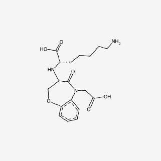 NCCCCC[C@H](NC1COc2ccccc2N(CC(=O)O)C1=O)C(=O)O